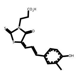 Cc1cc(C=CC=C2SC(=S)N(CCC(=O)O)C2=O)ccc1O